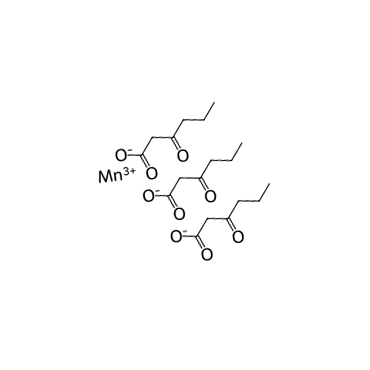 CCCC(=O)CC(=O)[O-].CCCC(=O)CC(=O)[O-].CCCC(=O)CC(=O)[O-].[Mn+3]